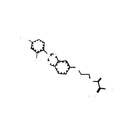 C=C(C)C(=O)OCCOc1ccc2nn(-c3ccc(O)cc3O)nc2c1